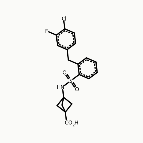 O=C(O)C12CC(NS(=O)(=O)c3ccccc3Cc3ccc(Cl)c(F)c3)(C1)C2